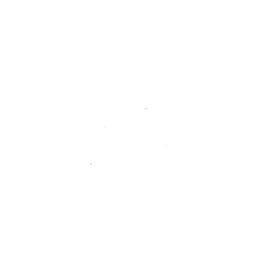 Cc1ccc(OC2CCCC2)c(S(N)(=O)=O)c1